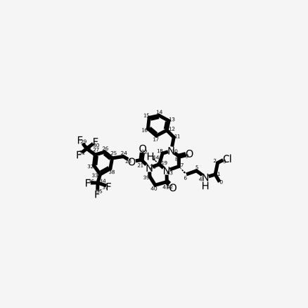 CC(CCl)NCC[C@H]1C(=O)N(Cc2ccccc2)C[C@@H]2N(C(=O)OCc3cc(C(F)(F)F)cc(C(F)(F)F)c3)CCC(=O)N21